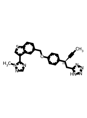 CC#C[C@@H](Cc1nnn[nH]1)c1ccc(OCc2ccc3scc(-c4ncnn4C)c3c2)cc1